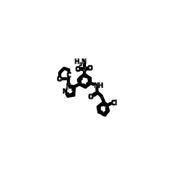 NS(=O)(=O)c1cc(NC(=O)Cc2ccccc2Cl)cc(-c2ccnn2C2CCCCO2)c1